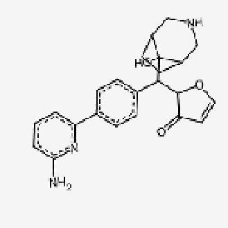 Nc1cccc(-c2ccc(C(C3OC=CC3=O)C3(O)C4CCC3CNC4)cc2)n1